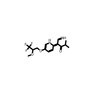 CC(C)C(=O)/C(C=N)=C1\C=CC(OCC(OI)C(F)(F)F)=CN1